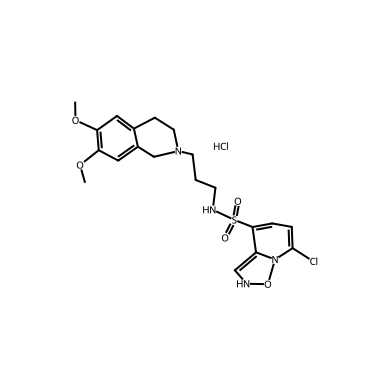 COc1cc2c(cc1OC)CN(CCCNS(=O)(=O)C1=CC=C(Cl)N3ONC=C13)CC2.Cl